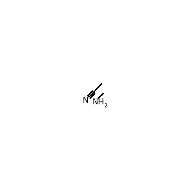 CC#N.CN